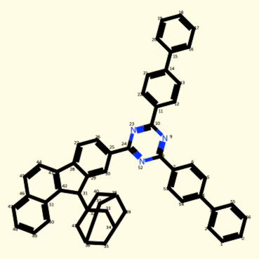 c1ccc(-c2ccc(-c3nc(-c4ccc(-c5ccccc5)cc4)nc(-c4ccc5c(c4)C(C46CC7CC(CC(C7)C4)C6)c4c-5ccc5ccccc45)n3)cc2)cc1